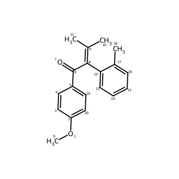 COc1ccc(C(=O)C(=C(C)C)c2ccccc2C)cc1